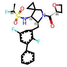 C[C@H](F)S(=O)(=O)N[C@@H]1[C@H](Cc2cc(F)cc(-c3ccccc3)c2F)N(C(=O)[C@H]2CCO2)CC12CC2